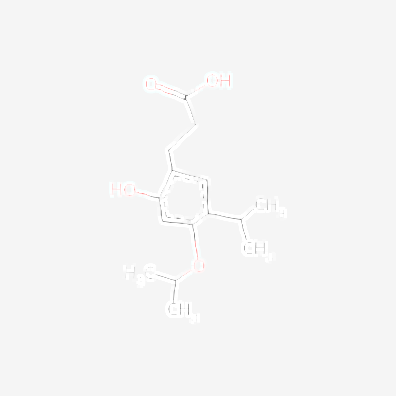 CC(C)Oc1cc(O)c(CCC(=O)O)cc1C(C)C